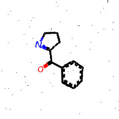 O=C(C1=NCCC1)c1ccccc1